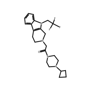 O=C(CN1CCc2c(n(CC(F)(F)F)c3ccccc23)C1)N1CCN(C2CCC2)CC1